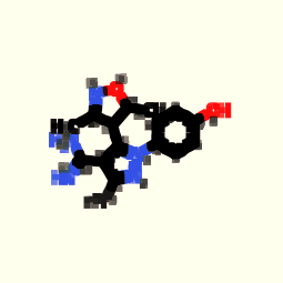 CCCc1nn(-c2ccc(O)cc2)c(C2C(C)=NOC2C)c1C(=N)N